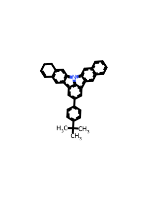 CC(C)(C)c1ccc(-c2cc3c4cc5c(cc4n4c6cc7ccccc7cc6c(c2)c34)CCC=C5)cc1